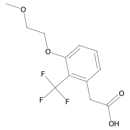 COCCOc1cccc(CC(=O)O)c1C(F)(F)F